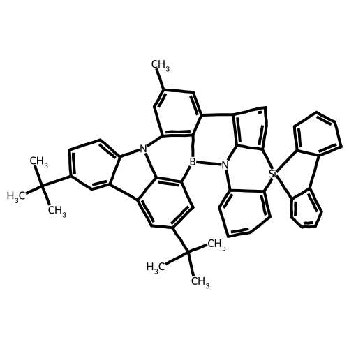 Cc1cc2c3c(c1)-n1c4ccc(C(C)(C)C)cc4c4cc(C(C)(C)C)cc(c41)B3N1c3ccccc3[Si]3(c4ccccc4-c4ccccc43)c3cccc-2c31